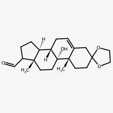 C[C@]12CCC3(CC1=CC[C@H]1[C@@H]4CCC(C=O)[C@@]4(C)CC[C@@]12O)OCCO3